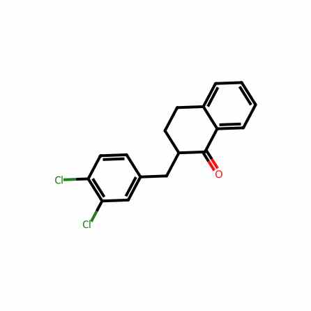 O=C1c2ccccc2CCC1Cc1ccc(Cl)c(Cl)c1